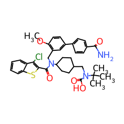 COc1ccc(-c2ccc(C(N)=O)cc2)cc1CN(C(=O)c1sc2ccccc2c1Cl)C1CCC(CN(C(=O)O)C(C)(C)C)CC1